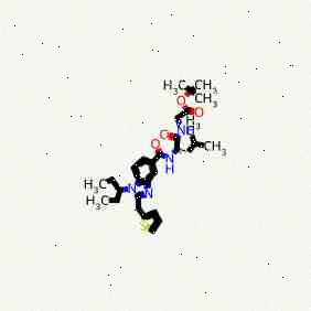 CCC(CC)n1c(Cc2cccs2)nc2cc(C(=O)N[C@@H](CC(C)C)C(=O)NCC(=O)OC(C)(C)C)ccc21